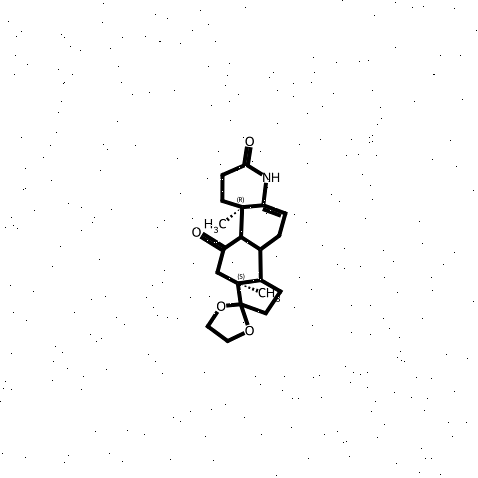 C[C@]12CCC(=O)NC1=CCC1C2C(=O)C[C@@]2(C)C1CCC21OCCO1